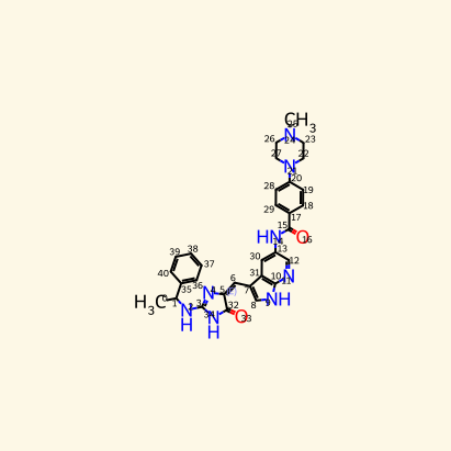 CC(NC1=N/C(=C/c2c[nH]c3ncc(NC(=O)c4ccc(N5CCN(C)CC5)cc4)cc23)C(=O)N1)c1ccccc1